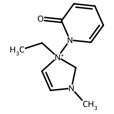 CC[N+]1(n2ccccc2=O)C=CN(C)C1